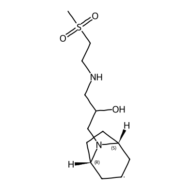 CS(=O)(=O)CCNCC(O)CN1[C@@H]2C[CH]C[C@H]1CC2